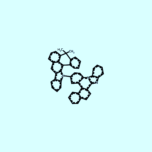 CC1(C)c2ccccc2-c2c3c1cccc3cc1c3ccccc3n(-c3ccc4c(c3)c3c5ccccc5ccc3c3nc5ccccc5n43)c21